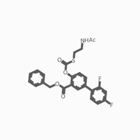 CC(=O)NCCSC(=O)Oc1ccc(-c2ccc(F)cc2F)cc1C(=O)OCc1ccccc1